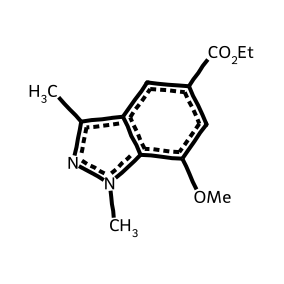 CCOC(=O)c1cc(OC)c2c(c1)c(C)nn2C